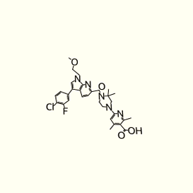 COCCn1cc(-c2ccc(Cl)c(F)c2)c2ccc(C(=O)N3CCN(c4cc(C)c(C(=O)O)c(C)n4)CC3(C)C)nc21